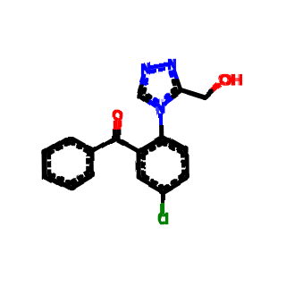 O=C(c1ccccc1)c1cc(Cl)ccc1-n1cnnc1CO